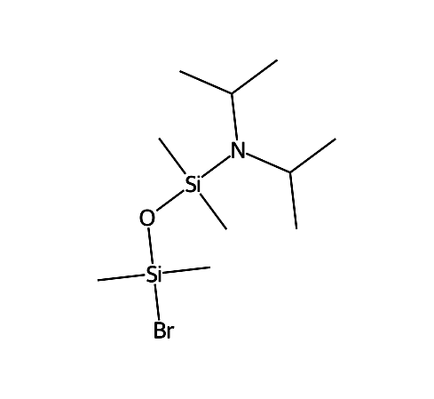 CC(C)N(C(C)C)[Si](C)(C)O[Si](C)(C)Br